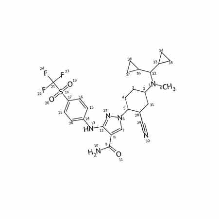 CN(C1CCC(n2cc(C(N)=O)c(Nc3ccc(S(=O)(=O)C(F)(F)F)cc3)n2)C(C#N)C1)C(C1CC1)C1CC1